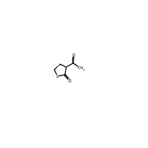 CC(=O)C1CCSC1=O